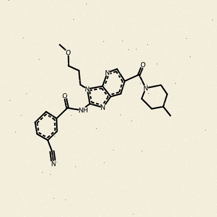 COCCCn1c(NC(=O)c2cccc(C#N)c2)nc2cc(C(=O)N3CCC(C)CC3)cnc21